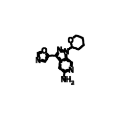 Nc1cc2c(-c3cnco3)nn(C3CCCCO3)c2cn1